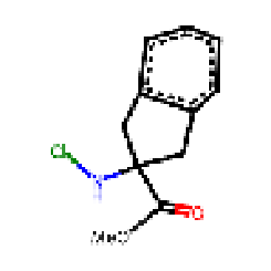 COC(=O)C1(NCl)Cc2ccccc2C1